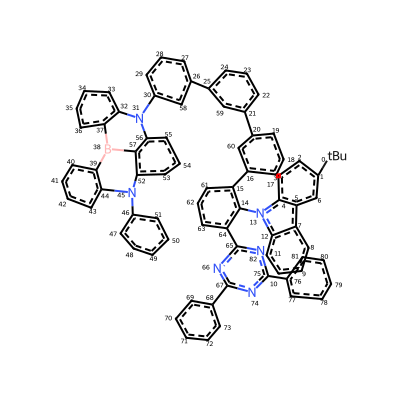 CC(C)(C)c1ccc2c(c1)c1ccccc1n2-c1c(-c2cccc(-c3cccc(-c4cccc(N5c6ccccc6B6c7ccccc7N(c7ccccc7)c7cccc5c76)c4)c3)c2)cccc1-c1nc(-c2ccccc2)nc(-c2ccccc2)n1